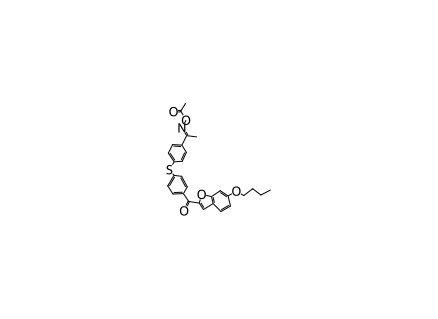 CCCCOc1ccc2cc(C(=O)c3ccc(Sc4ccc(/C(C)=N/OC(C)=O)cc4)cc3)oc2c1